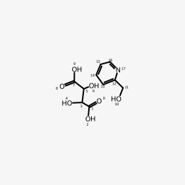 O=C(O)C(O)C(O)C(=O)O.OCc1ccccn1